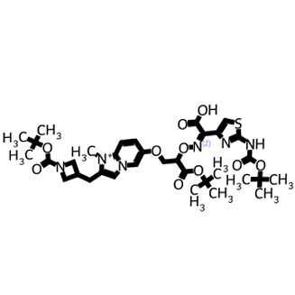 C[n+]1c(CC2CN(C(=O)OC(C)(C)C)C2)cn2cc(OCC(O/N=C(\C(=O)O)c3csc(NC(=O)OC(C)(C)C)n3)C(=O)OC(C)(C)C)ccc21